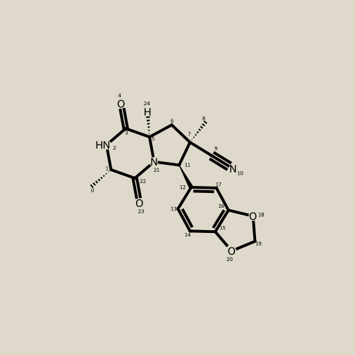 C[C@@H]1NC(=O)[C@H]2C[C@@](C)(C#N)[C@@H](c3ccc4c(c3)OCO4)N2C1=O